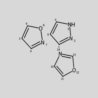 c1cn[nH]c1.c1cnoc1.c1cocn1